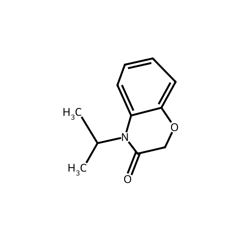 CC(C)N1C(=O)COc2ccccc21